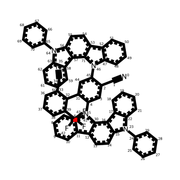 N#Cc1cc(-n2c3ccccc3c3ccc4c(c5ccccc5n4-c4ccccc4)c32)c(-c2c(C#N)cccc2C(F)(F)F)cc1-n1c2ccccc2c2ccc3c(c4ccccc4n3-c3ccccc3)c21